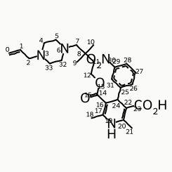 C=CCN1CCN(CC(C)(C)CCOC(=O)C2=C(C)NC(C)=C(C(=O)O)C2c2cccc([N+](=O)[O-])c2)CC1